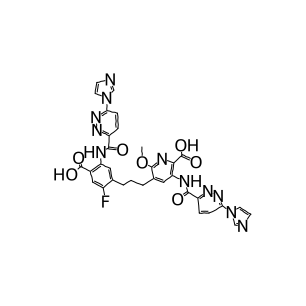 COc1nc(C(=O)O)c(NC(=O)c2ccc(-n3ccnc3)nn2)cc1CCCc1cc(NC(=O)c2ccc(-n3ccnc3)nn2)c(C(=O)O)cc1F